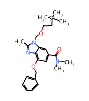 Cc1nc2c(OCc3ccccc3)cc(C(=O)N(C)C)cc2n1COCC[Si](C)(C)C